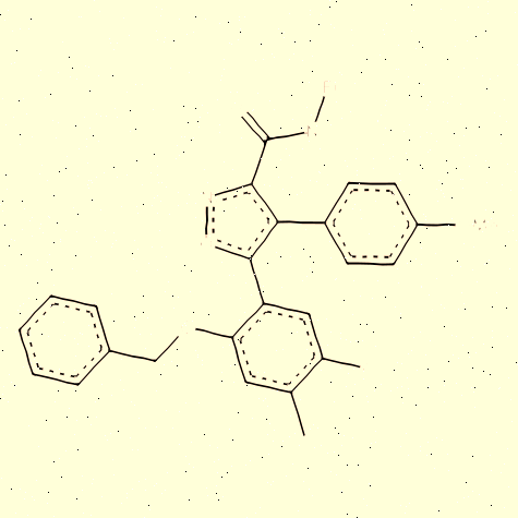 CCNC(=O)c1noc(-c2cc(Cl)c(C)cc2OCc2ccccc2)c1-c1ccc(OC)cc1